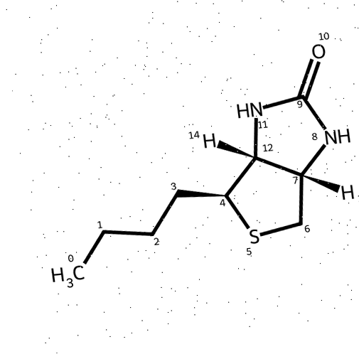 CCCC[C@@H]1SC[C@H]2NC(=O)N[C@@H]12